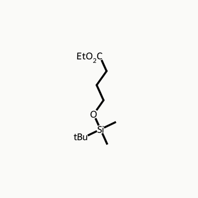 CCOC(=O)CCCO[Si](C)(C)C(C)(C)C